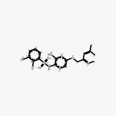 C/N=C(\C=C(C)C)COc1cnc(NS(=O)(=O)c2cccc(Cl)c2Cl)c(O)n1